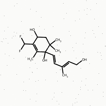 CC(C=CC1(O)C(C)=C(C(F)F)C(O)CC1(C)C)=CCO